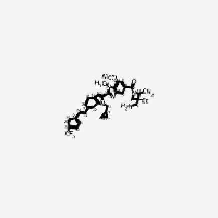 CC[C@@]1(CN)CN(C(=O)c2cc(OC)c3c(c2)nc(-c2cc4ccc(/C=C/c5ccc(C(F)(F)F)cc5)cc4n2CC2CC2)n3C)C1C